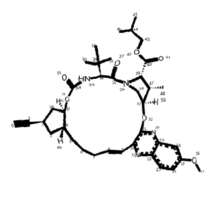 C#C[C@@H]1C[C@H]2CCC/C=C/c3nc4ccc(OC)cc4nc3O[C@H]3CN(C(=O)[C@H](C(C)(C)C)NC(=O)O[C@@H]2C1)[C@H](C(=O)OCC(C)C)[C@@H]3C